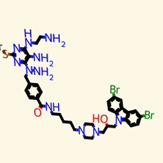 CCCSc1nc(NCCN)c(N)c(N(N)Cc2ccc(C(=O)NCCCCCN3CCN(CC(O)Cn4c5ccc(Br)cc5c5cc(Br)ccc54)CC3)cc2)n1